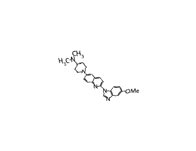 COc1ccc2c(c1)ncn2-c1ccc2cc(N3CCC(N(C)C)CC3)ccc2n1